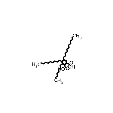 CCCCCCCCCCCCc1cc(C(=O)O)c(C(=O)O)c(CCCCCCCC)c1CCCCCCCCCC